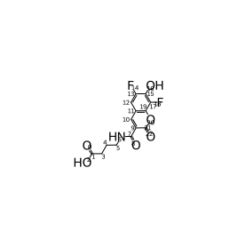 O=C(O)CCCNC(=O)c1cc2cc(F)c(O)c(F)c2oc1=O